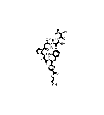 CC[C@H](C)[C@@H]([C@@H](CC(=O)N1CCC[C@H]1[C@H](OC)[C@@H](C)C(=O)N[C@@H](Cc1ccccc1)c1nc(C(=O)OCCO)cs1)OC)N(C)C(=O)[C@@H](NC(=O)[C@H](C(C)C)N(C)C)C(C)C